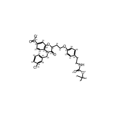 CC(C)(C)OC(=O)NCCc1ccc(OCCC2Oc3cc([N+](=O)[O-])ccc3N(Cc3cccc(Cl)c3)C2=O)cc1